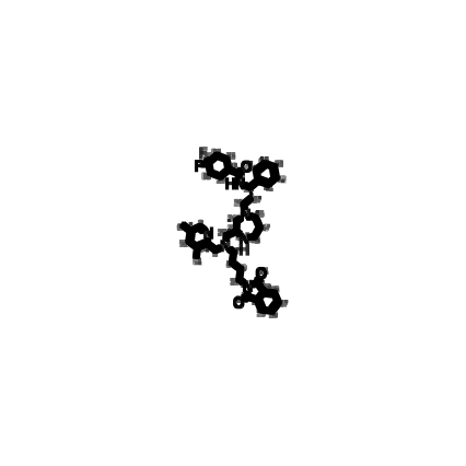 Cc1cnc(CN(CCCCN2C(=O)c3ccccc3C2=O)CC2CN(CC[C@H](NC(=O)C3CCC(F)(F)CC3)c3ccccc3)CCCN2)c(C)c1